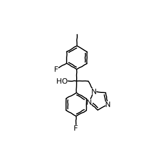 Cc1ccc(C(O)(Cn2cncn2)c2ccc(F)cc2)c(F)c1